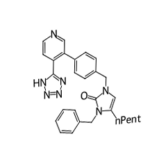 CCCCCc1cn(Cc2ccc(-c3cnccc3-c3nnn[nH]3)cc2)c(=O)n1Cc1ccccc1